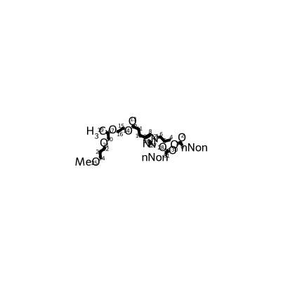 CCCCCCCCCC(=O)OCC(Cn1cc(CCC(=O)OCCOC(C)COCCCOC)nn1)OC(=O)CCCCCCCCC